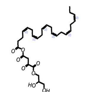 CC/C=C\C/C=C\C/C=C\C/C=C\C/C=C\C/C=C\CCC(=O)OC(=O)CC(=O)C(=O)OCC(O)CO